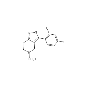 O=C(O)N1CCc2noc(-c3ccc(F)cc3F)c2C1